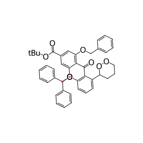 CC(C)(C)OC(=O)c1cc(OCc2ccccc2)c(C(=O)c2c(OCc3ccccc3)cccc2C2CCCOO2)c(OCc2ccccc2)c1